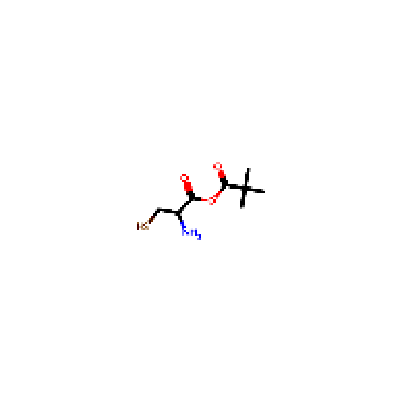 CC(C)(C)C(=O)OC(=O)C(N)CS